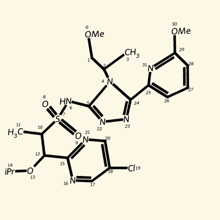 COCC(C)n1c(NS(=O)(=O)C(C)C(OC(C)C)c2ncc(Cl)cn2)nnc1-c1cccc(OC)n1